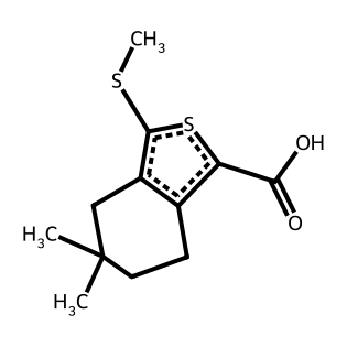 CSc1sc(C(=O)O)c2c1CC(C)(C)CC2